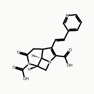 O=C(O)C1=C(/C=C/c2cccnc2)C2CC(=O)N(C(=O)O)[C@H]3CN1[C@H]23